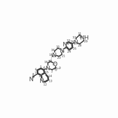 C[C@@H]1CN(c2ccc(C#N)c3ncccc23)C[C@H](CN2CCN(c3ccc(N4CCNCC4)cn3)CC2)O1